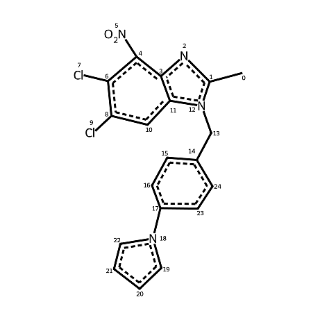 Cc1nc2c([N+](=O)[O-])c(Cl)c(Cl)cc2n1Cc1ccc(-n2cccc2)cc1